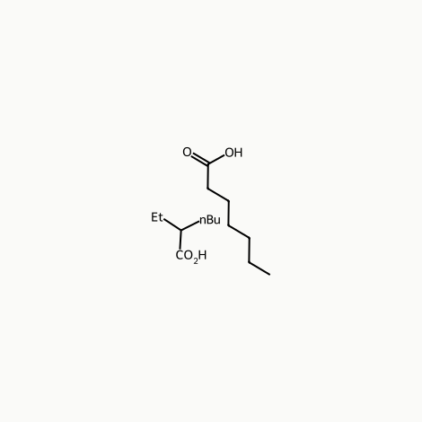 CCCCC(CC)C(=O)O.CCCCCCC(=O)O